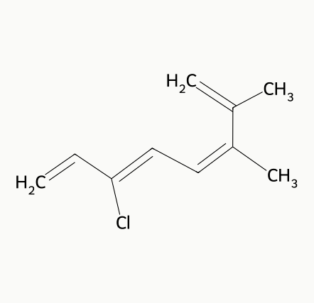 C=CC(Cl)=CC=C(C)C(=C)C